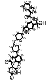 Cn1c(=O)n(C2CCC(=O)NC2=O)c2cccc(C3CCN(C[C@H]4CC[C@H](n5cc6cc(NC(=O)c7ncn8cccnc78)c(C(C)(C)O)cc6n5)CC4)CC3)c21